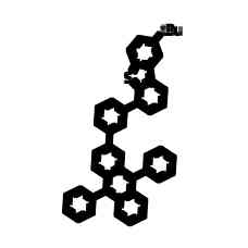 CC(C)(C)c1ccc2sc3c(-c4cccc(-c5ccc6c(-c7ccccc7)c7ccccc7c(-c7ccccc7)c6c5)c4)cccc3c2c1